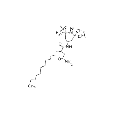 CCCCCCCCCCCCC(CC(N)=O)C(=O)NC1CC(C)(C)NC(C)(C)C1